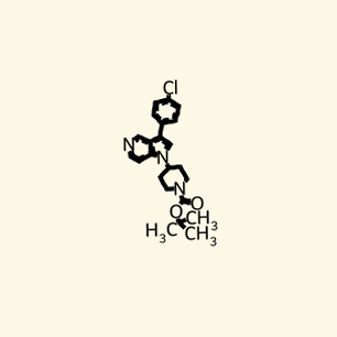 CC(C)(C)OC(=O)N1CCC(n2cc(-c3ccc(Cl)cc3)c3cnccc32)CC1